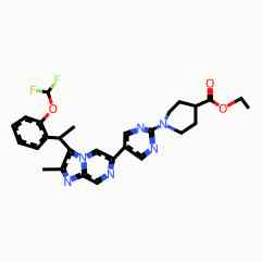 CCOC(=O)C1CCN(c2ncc(-c3cn4c(C(C)c5ccccc5OC(F)F)c(C)nc4cn3)cn2)CC1